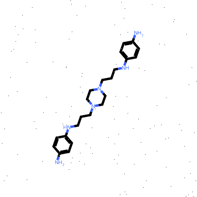 Nc1ccc(NCCCN2CCN(CCCNc3ccc(N)cc3)CC2)cc1